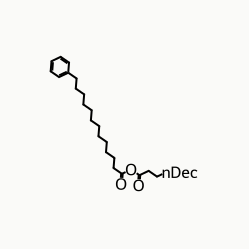 CCCCCCCCCCCCC(=O)OC(=O)CCCCCCCCCCCCc1ccccc1